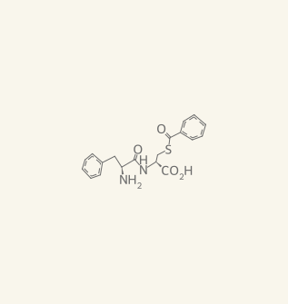 N[C@@H](Cc1ccccc1)C(=O)N[C@@H](CSC(=O)c1ccccc1)C(=O)O